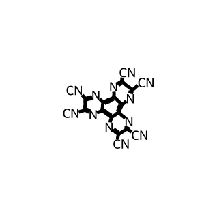 [C-]#[N+]c1nc2c3nc(C#N)c(C#N)nc3c3nc(C#N)c(C#N)nc3c2nc1[N+]#[C-]